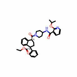 CCOC(=O)[C@@]1(c2ccccc2)CC[C@H](C(=O)N2CCC(NC(=O)c3cccnc3OC(C)C)CC2)c2ccccc21